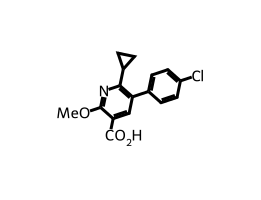 COc1nc(C2CC2)c(-c2ccc(Cl)cc2)cc1C(=O)O